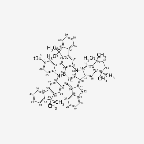 CC(C)(C)c1ccc(N2B3c4cc5c(cc4-n4c6cc7c(cc6c6c8sc9ccccc9c8c(c3c64)-c3cc4c(cc32)-c2ccccc2C4(C)C)C(C)(C)CCC7(C)C)-c2ccccc2C5(C)C)cc1